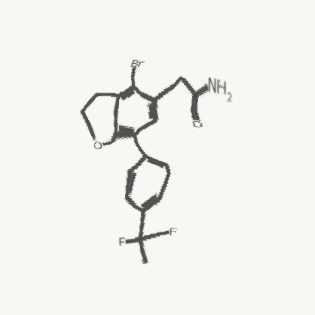 CC(F)(F)c1ccc(-c2cc(CC(N)=O)c(Br)c3c2OCC3)cc1